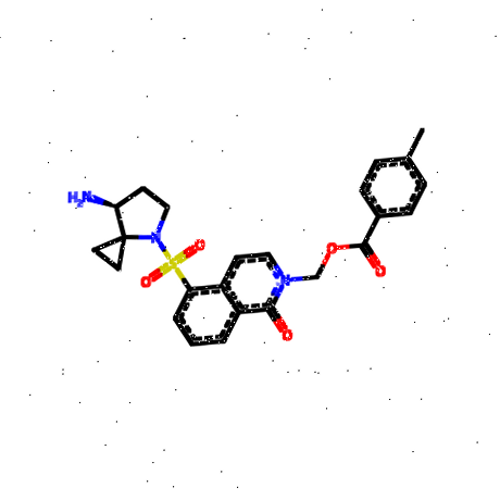 Cc1ccc(C(=O)OCn2ccc3c(S(=O)(=O)N4CC[C@H](N)C45CC5)cccc3c2=O)cc1